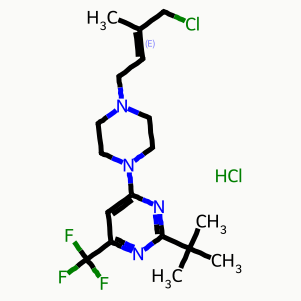 C/C(=C\CN1CCN(c2cc(C(F)(F)F)nc(C(C)(C)C)n2)CC1)CCl.Cl